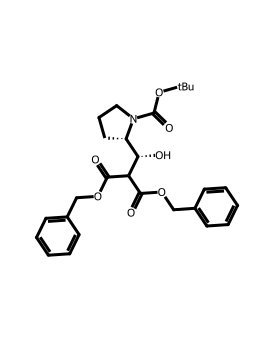 CC(C)(C)OC(=O)N1CCC[C@H]1[C@H](O)C(C(=O)OCc1ccccc1)C(=O)OCc1ccccc1